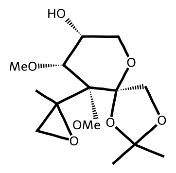 CO[C@@H]1[C@H](O)CO[C@]2(COC(C)(C)O2)[C@@]1(OC)C1(C)CO1